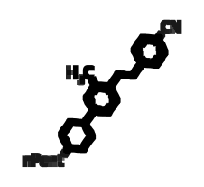 CCCCCC1CCC(c2ccc(CCc3ccc(C#N)cc3)c(C)c2)CC1